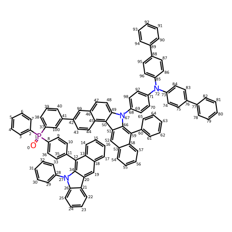 O=P(c1ccccc1)(c1ccc(-c2c3ccccc3cc3c4ccccc4n(-c4ccccc4)c23)cc1)c1cccc(-c2ccc3c(ccc4c3c3cc5ccccc5c(-c5ccccc5)c3n4-c3ccc(N(c4ccc(-c5ccccc5)cc4)c4ccc(-c5ccccc5)cc4)cc3)c2)c1